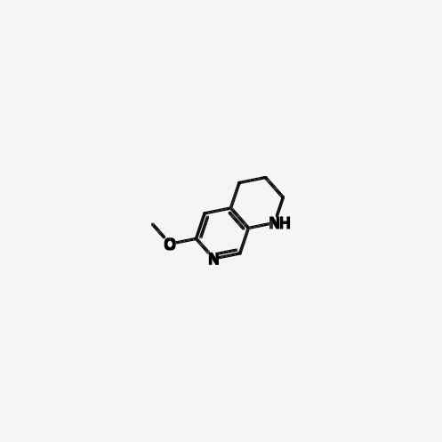 COc1cc2c(cn1)NCCC2